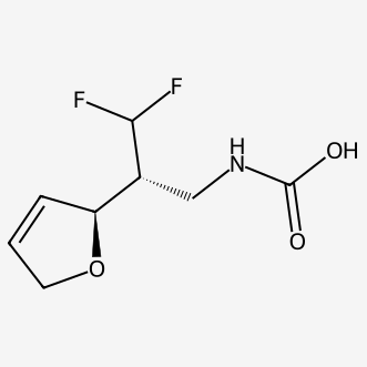 O=C(O)NC[C@@H](C(F)F)[C@@H]1C=CCO1